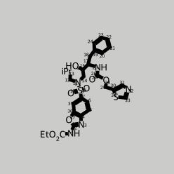 CCOC(=O)Nc1nc2ccc(S(=O)(=O)N(CC(C)C)CC(O)C(Cc3ccccc3)NC(=O)OCc3cncs3)cc2o1